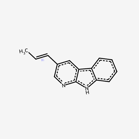 C/C=C/c1cnc2[nH]c3ccccc3c2c1